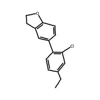 CCc1ccc(-c2ccc3c(c2)CCO3)c(Cl)c1